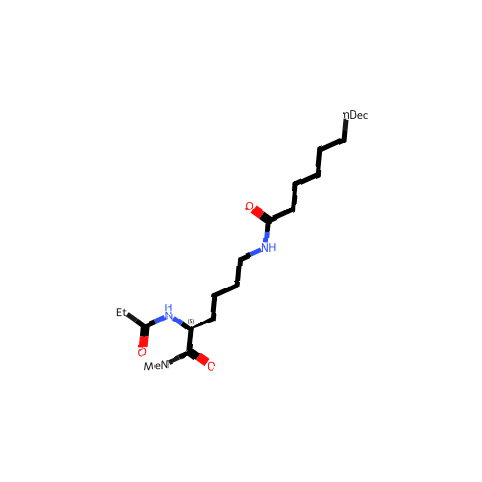 CCCCCCCCCCCCCCCC(=O)NCCCC[C@H](NC(=O)CC)C(=O)NC